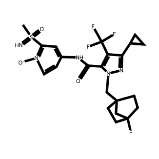 CS(=N)(=O)c1cc(NC(=O)c2c(C(F)(F)F)c(C3CC3)nn2CC23CCC(F)(CC2)C3)cc[n+]1[O-]